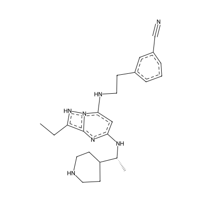 CCc1[nH]n2c(NCCc3cccc(C#N)c3)cc(N[C@H](C)C3CCNCC3)nc12